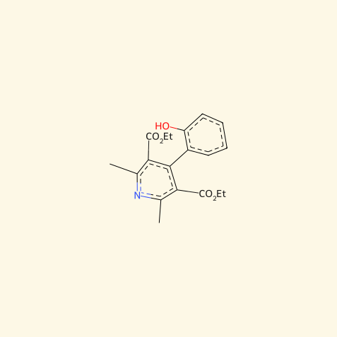 CCOC(=O)c1c(C)nc(C)c(C(=O)OCC)c1-c1ccccc1O